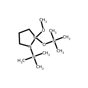 CO[Si]1(O[Si](C)(C)C)CCCN1[Si](C)(C)C